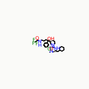 CNC[C@H](CC1CCCCC1)NC(=O)N1CCC[C@@H]([C@@](O)(CCCNC(=O)C(F)(F)F)c2cccc(Cl)c2)C1